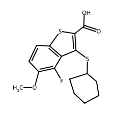 COc1ccc2sc(C(=O)O)c(SC3CCCCC3)c2c1F